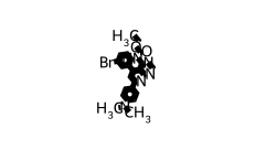 CCOC(=O)Nc1ncnc2nc(-c3ccc(N(C)C)cc3)cc(-c3cccc(Br)c3)c12